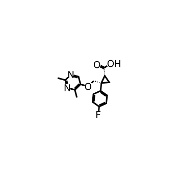 Cc1ncc(OC[C@@]2(c3ccc(F)cc3)C[C@H]2C(=O)O)c(C)n1